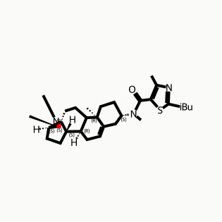 CCC(C)c1nc(C)c(C(=O)N(C)[C@H]2CC[C@@]3(C)C(=CC[C@@H]4C3CC[C@]35CN(C)[C@@H](C)[C@H]3CC[C@@H]45)C2)s1